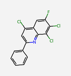 Fc1cc2c(Cl)cc(-c3ccccc3)nc2c(Cl)c1Cl